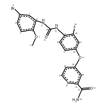 COc1ccc(Br)cc1NC(=O)Nc1ccc(Oc2ccnc(C(N)=O)c2)cc1F